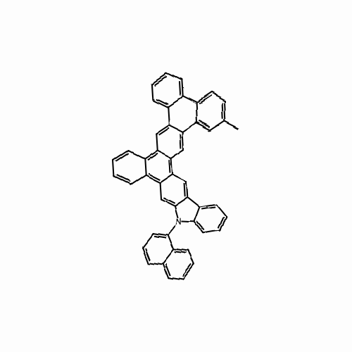 Cc1ccc2c3ccccc3c3cc4c5ccccc5c5cc6c(cc5c4cc3c2c1)c1ccccc1n6-c1cccc2ccccc12